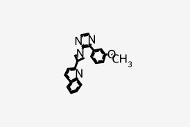 COc1cccc(-c2nccnc2N2CC(c3ccc4ccccc4n3)C2)c1